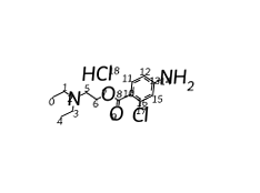 CCN(CC)CCOC(=O)c1ccc(N)cc1Cl.Cl